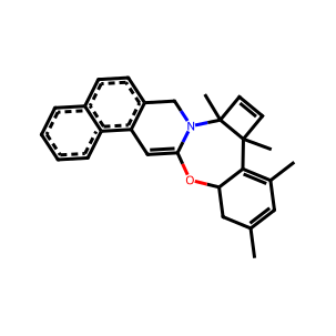 CC1=CC(C)=C2C(C1)OC1=Cc3c(ccc4ccccc34)CN1C1(C)C=CC21C